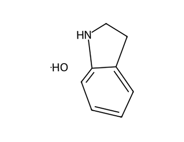 [OH].c1ccc2c(c1)CCN2